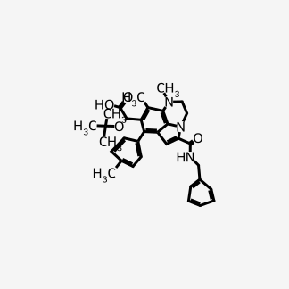 Cc1ccc(-c2c([C@H](OC(C)(C)C)C(=O)O)c(C)c3c4c2cc(C(=O)NCc2ccccc2)n4CCN3C)cc1